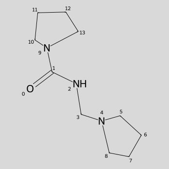 O=C(NCN1CCCC1)N1CCCC1